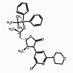 C[C@H](C[C@@H]1OC(=O)N(c2cc(Cl)nc(N3CCOCC3)n2)[C@H]1C)O[Si](c1ccccc1)(c1ccccc1)C(C)(C)C